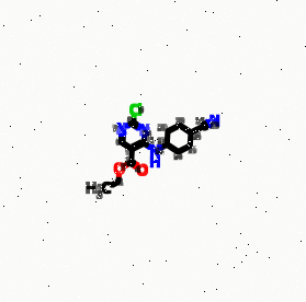 CCOC(=O)c1cnc(Cl)nc1NC1CCC(C#N)CC1